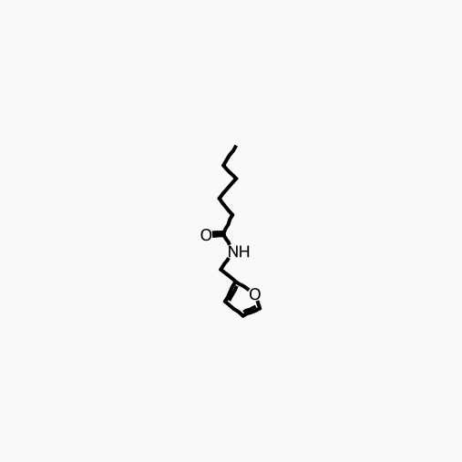 CCCCCC(=O)NCc1ccco1